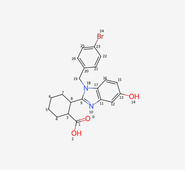 O=C(O)C1CCCCC1c1nc2cc(O)ccc2n1Cc1ccc(Br)cc1